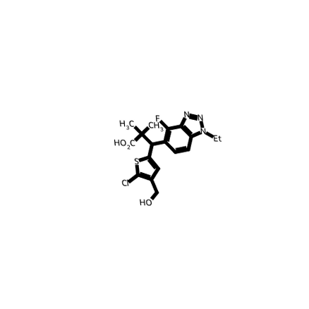 CCn1nnc2c(F)c(C(c3cc(CO)c(Cl)s3)C(C)(C)C(=O)O)ccc21